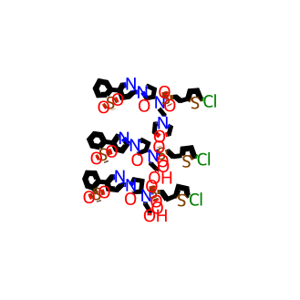 CS(=O)(=O)c1ccccc1-c1ccc(N2CC[C@H](N(CC(=O)O)S(=O)(=O)/C=C/c3ccc(Cl)s3)C2=O)nc1.CS(=O)(=O)c1ccccc1-c1ccc(N2CC[C@H](N(CC(=O)O)S(=O)(=O)/C=C/c3ccc(Cl)s3)C2=O)nc1.CS(=O)(=O)c1ccccc1-c1ccc(N2CC[C@H](N(CCN3CCOCC3)S(=O)(=O)/C=C/c3ccc(Cl)s3)C2=O)nc1